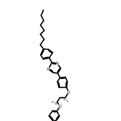 CCCCCCCCc1ccc(-c2ncc(-c3ccc(O[C@H](C)C[C@@H](C)Oc4ccccc4)cc3)cn2)cc1